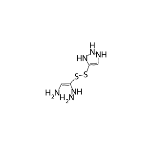 N/C=C(\NN)SSC1=CNNN1